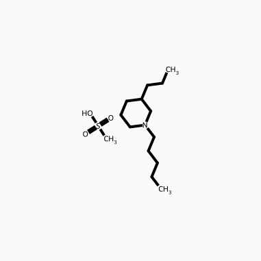 CCCCCN1CCCC(CCC)C1.CS(=O)(=O)O